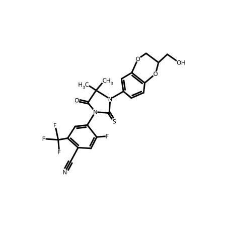 CC1(C)C(=O)N(c2cc(C(F)(F)F)c(C#N)cc2F)C(=S)N1c1ccc2c(c1)OCC(CO)O2